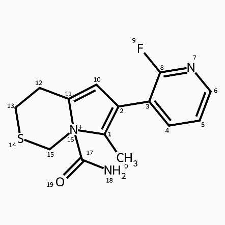 CC1=C(c2cccnc2F)C=C2CCSC[N+]21C(N)=O